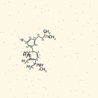 C=C(NC)C(/C=C\C(C)c1cc(F)cc(CCC(C)C)c1)=C(\C)N